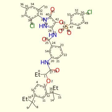 CCC(Oc1ccc(C(C)(C)CC)cc1C(C)(C)CC)C(=O)Nc1cccc(C(=O)Nc2[nH]n(-c3c(C)cc(C)cc3Cl)c(=O)c2OS(=O)(=O)c2ccc(Cl)cc2)c1